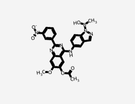 COc1cc2nc(-c3cccc([N+](=O)[O-])c3)nc(Nc3ccc4c(cnn4B(C)O)c3)c2cc1OC(C)=O